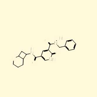 CN(Cc1ccccc1)C(=O)c1cc(C(=O)NC2CC3OCCCC23)c[nH]c1=O